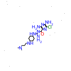 CN(C)CCCNC1CCC(N/C(N)=N/C(=O)c2nc(Cl)c(N)nc2N)CC1